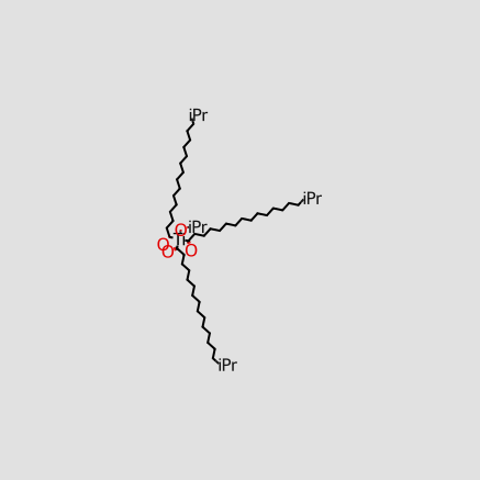 CC(C)CCCCCCCCCCCCCC[C](=O)[Ti]([O]C(C)C)([C](=O)CCCCCCCCCCCCCCC(C)C)[C](=O)CCCCCCCCCCCCCCC(C)C